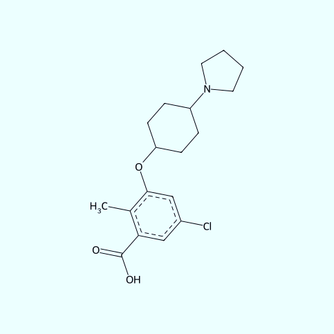 Cc1c(OC2CCC(N3CCCC3)CC2)cc(Cl)cc1C(=O)O